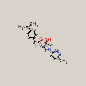 Cc1ccc(N2C[C@H](NC(=O)Cc3ccc(C(C)C)cc3)[C@@H](O)C2)nn1